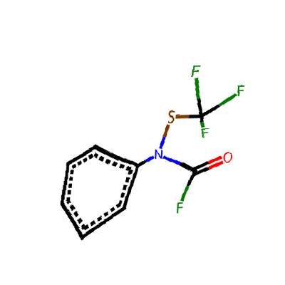 O=C(F)N(SC(F)(F)F)c1ccccc1